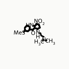 CSc1ccc2[nH]c3c([N+](=O)[O-])ccc(NCCCN(C)C)c3c(=O)c2c1